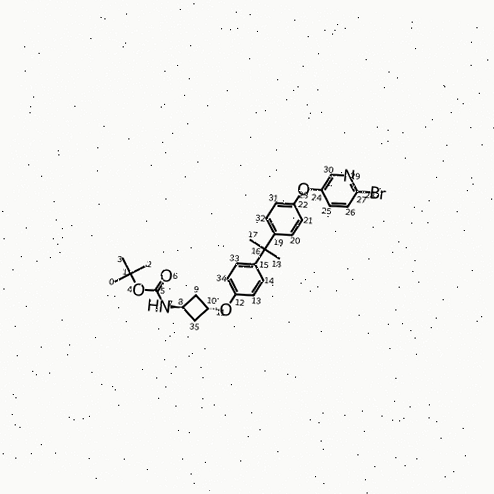 CC(C)(C)OC(=O)N[C@H]1C[C@H](Oc2ccc(C(C)(C)c3ccc(Oc4ccc(Br)nc4)cc3)cc2)C1